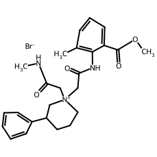 CNC(=O)C[N+]1(CC(=O)Nc2c(C)cccc2C(=O)OC)CCCC(c2ccccc2)C1.[Br-]